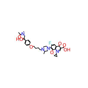 COc1c(N2CCN(CCCCOc3ccc([C@@H](O)CN(C)C(C)=O)cc3)C(C)C2)c(F)cc2c(=O)c(C(=O)O)cn(C3CC3)c12